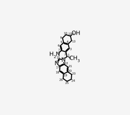 C[C@H](c1cc2c(cc1N)CCC(O)C2)n1cnc2cc3c(cc21)CCCC3